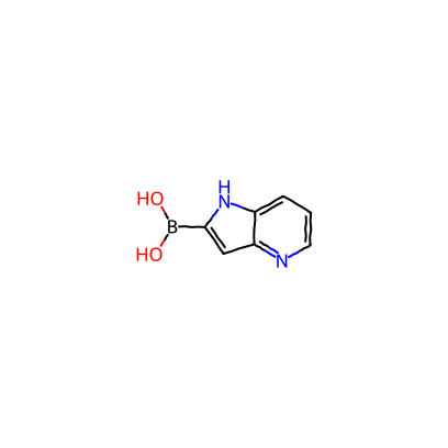 OB(O)c1cc2ncccc2[nH]1